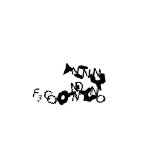 O=c1ccc(-c2nc(-c3ccc(OC(F)(F)F)cc3)no2)cn1Cc1ccnc(N2CCN(C3CC3)CC2)c1